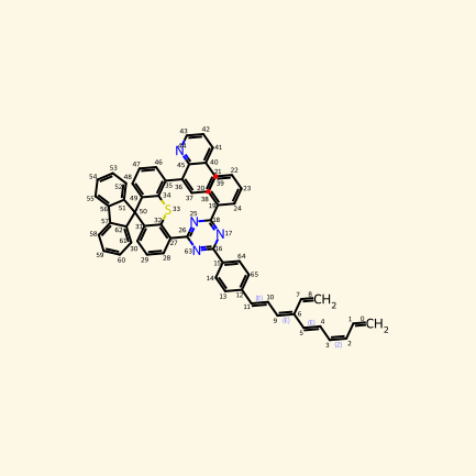 C=C\C=C/C=C/C(C=C)=C/C=C/c1ccc(-c2nc(-c3ccccc3)nc(-c3cccc4c3Sc3c(-c5cccc6cccnc56)cccc3C43c4ccccc4-c4ccccc43)n2)cc1